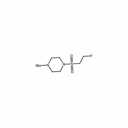 CC(C)(C)N1CCN(S(=O)(=O)CCF)CC1